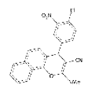 CNC1=C(C#N)C(c2ccc(Cl)c([N+](=O)[O-])c2)c2ccc3ccccc3c2O1